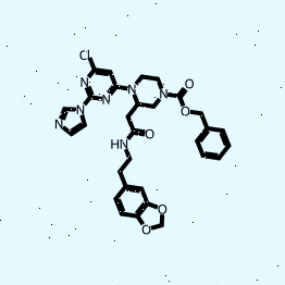 O=C(CC1CN(C(=O)OCc2ccccc2)CCN1c1cc(Cl)nc(-n2ccnc2)n1)NCCc1ccc2c(c1)OCO2